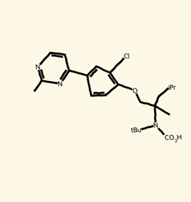 Cc1nccc(-c2ccc(OCC(C)(CC(C)C)N(C(=O)O)C(C)(C)C)c(Cl)c2)n1